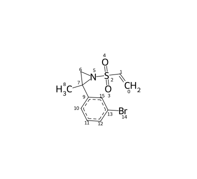 C=CS(=O)(=O)N1CC1(C)c1cccc(Br)c1